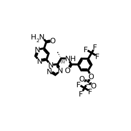 C[C@H](NC(=O)c1cc(OS(=O)(=O)C(F)(F)F)cc(C(F)(F)F)c1)c1ncnn1-c1cc(C(N)=O)ncn1